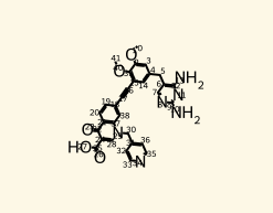 COc1cc(Cc2cnc(N)nc2N)cc(C#Cc2ccc3c(=O)c(C(=O)O)cn(Cc4ccncc4)c3c2)c1OC